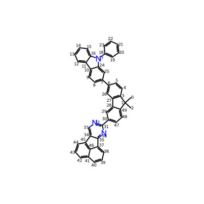 CC1(C)c2ccc(-c3ccc4c5ccccc5n(-c5ccccc5)c4c3)cc2-c2cc(-c3ncc4c(n3)-c3cccc5cccc-4c35)ccc21